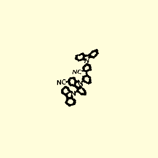 N#Cc1ccc2c(c1)c1c(-n3c4ccccc4c4ccccc43)cccc1n2-c1cccc(-c2ccc(-n3c4ccccc4c4ccccc43)cc2C#N)c1